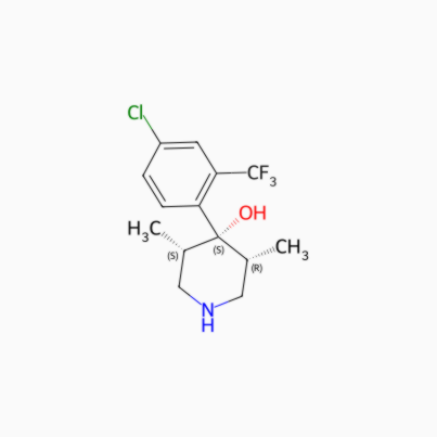 C[C@@H]1CNC[C@H](C)[C@@]1(O)c1ccc(Cl)cc1C(F)(F)F